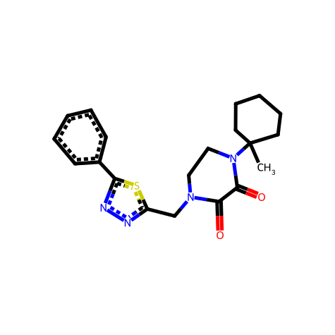 CC1(N2CCN(Cc3nnc(-c4ccccc4)s3)C(=O)C2=O)CCCCC1